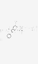 CNC(=O)c1c(-c2ccc(C)cc2)oc2nc(CN(CCCCCP(C)(=O)O)[SH](=O)=O)c(C3CC3)cc12